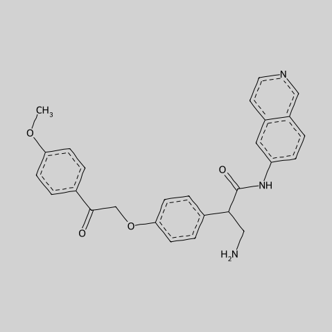 COc1ccc(C(=O)COc2ccc(C(CN)C(=O)Nc3ccc4cnccc4c3)cc2)cc1